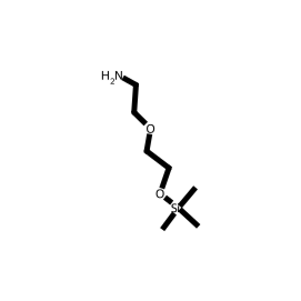 C[Si](C)(C)OCCOCCN